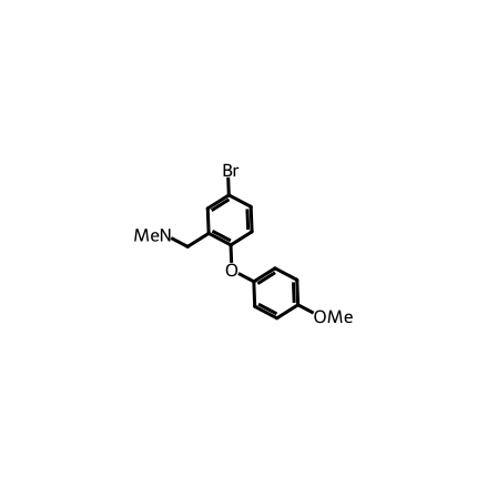 CNCc1cc(Br)ccc1Oc1ccc(OC)cc1